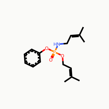 CC(C)=CCNP(=O)(OCC=C(C)C)Oc1ccccc1